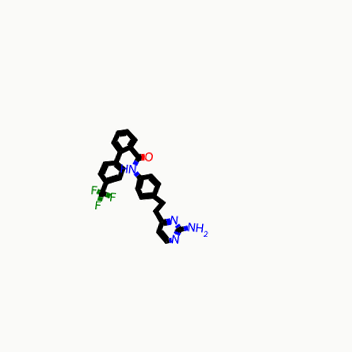 Nc1nccc(CCc2ccc(NC(=O)c3ccccc3-c3ccc(C(F)(F)F)cc3)cc2)n1